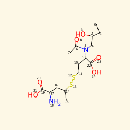 CCC(O)CN(C(C)=O)C(CCSSC(C)CC(N)C(=O)O)C(=O)O